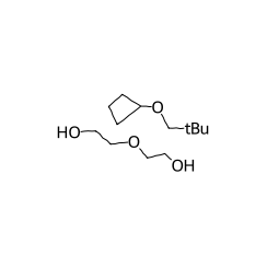 CC(C)(C)COC1CCC1.OCCOCCO